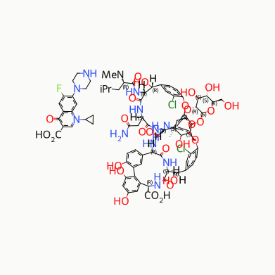 CN[C@H](CC(C)C)C(=O)N[C@H]1C(=O)N[C@@H](CC(N)=O)C(=O)N[C@H]2C(=O)N[C@H]3C(=O)N[C@H](C(=O)N[C@@H](C(=O)O)c4cc(O)cc(O)c4-c4cc3ccc4O)[C@H](O)c3ccc(c(Cl)c3)Oc3cc2cc(c3O[C@@H]2O[C@H](CO)[C@@H](O)[C@H](O)[C@H]2O[C@H]2C[C@](C)(N)C(O)[C@H](C)O2)Oc2ccc(cc2Cl)[C@H]1O.O=C(O)c1cn(C2CC2)c2cc(N3CCNCC3)c(F)cc2c1=O